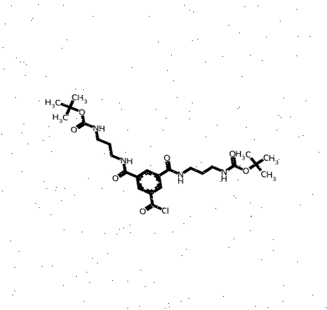 CC(C)(C)OC(=O)NCCCNC(=O)c1cc(C(=O)Cl)cc(C(=O)NCCCNC(=O)OC(C)(C)C)c1